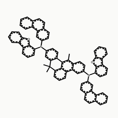 Cc1c2c3c(cccc3c3cc(N(c4ccc5ccc6ccccc6c5c4)c4cccc5c4oc4ccccc45)ccc13)C(C)(C)c1cc(N(c3ccc4ccc5ccccc5c4c3)c3cccc4c3oc3ccccc34)ccc1-2